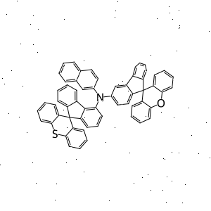 c1ccc2c(c1)Oc1ccccc1C21c2ccccc2-c2cc(N(c3ccc4ccccc4c3)c3cccc4c3-c3ccccc3C43c4ccccc4Sc4ccccc43)ccc21